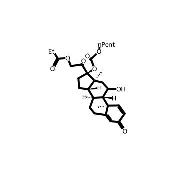 CCCCCOC(=O)O[C@]1(C(=O)COC(=O)CC)CC[C@H]2[C@@H]3CCC4=CC(=O)C=C[C@]4(C)[C@H]3C(O)C[C@@]21C